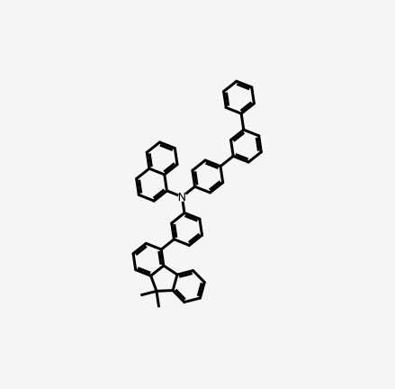 CC1(C)c2ccccc2-c2c(-c3cccc(N(c4ccc(-c5cccc(-c6ccccc6)c5)cc4)c4cccc5ccccc45)c3)cccc21